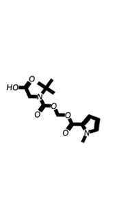 Cn1cccc1C(=O)OCOC(=O)N(CC(=O)O)C(C)(C)C